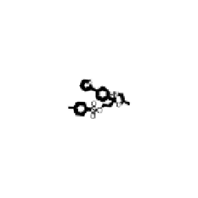 CC1=CNC(CCOS(=O)(=O)c2ccc(C)cc2)(c2ccc(-c3cccs3)cc2)O1